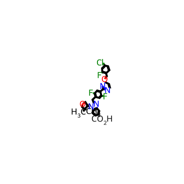 CC1(C)COC[C@H]1n1c(Cc2cc(F)c(-c3nccc(OCc4ccc(Cl)cc4F)n3)cc2F)nc2ccc(C(=O)O)cc21